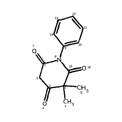 CC1(C)C(=O)CC(=O)N(c2ccccc2)C1=O